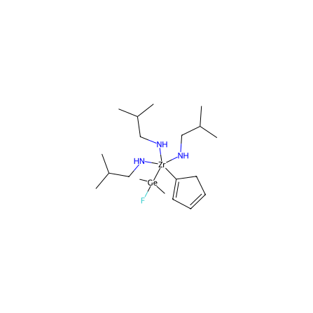 CC(C)C[NH][Zr]([NH]CC(C)C)([NH]CC(C)C)([C]1=CC=CC1)[Ge]([CH3])([CH3])[F]